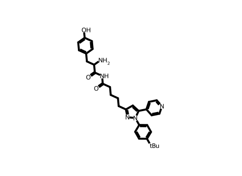 CC(C)(C)c1ccc(-n2nc(CCCCC(=O)NC(=O)C(N)Cc3ccc(O)cc3)cc2-c2ccncc2)cc1